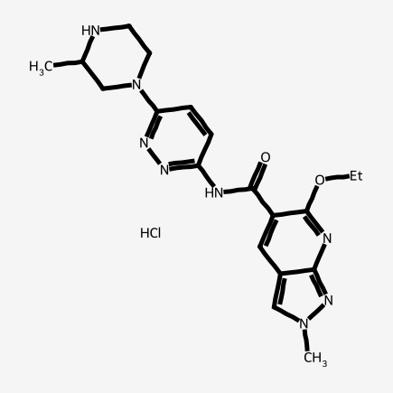 CCOc1nc2nn(C)cc2cc1C(=O)Nc1ccc(N2CCNC(C)C2)nn1.Cl